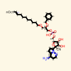 CCCCCCCC/C=C/CCCCCCCCOC[C@H](COP(=O)(O)OC[C@H]1O[C@@](C#N)(c2ccc3c(N)ccnn23)[C@H](O)[C@@H]1O)OCc1ccccc1